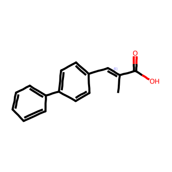 C/C(=C\c1ccc(-c2ccccc2)cc1)C(=O)O